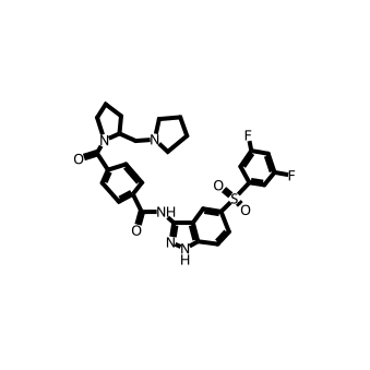 O=C(Nc1n[nH]c2ccc(S(=O)(=O)c3cc(F)cc(F)c3)cc12)c1ccc(C(=O)N2CCCC2CN2CCCC2)cc1